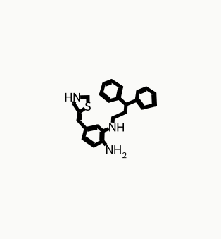 Nc1ccc(C=C2CNCS2)cc1NCCC(c1ccccc1)c1ccccc1